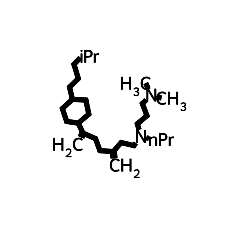 C=C(CCC(=C)C1CCC(CCCC(C)C)CC1)CCN(CCC)CCCN(C)C